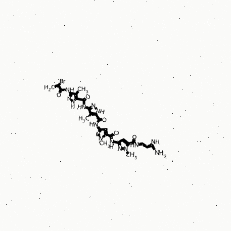 C=C(Br)C(=O)Nc1n[nH]c(C(=O)Nc2n[nH]c(C(=O)Nc3cc(C(=O)Nc4cc(C(=O)NCCC(=N)N)n(C)n4)n(C)n3)c2C)c1C